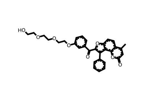 Cc1cc(=O)oc2c1ccc1oc(C(=O)c3cccc(OCCOCCOCCO)c3)c(-c3ccccc3)c12